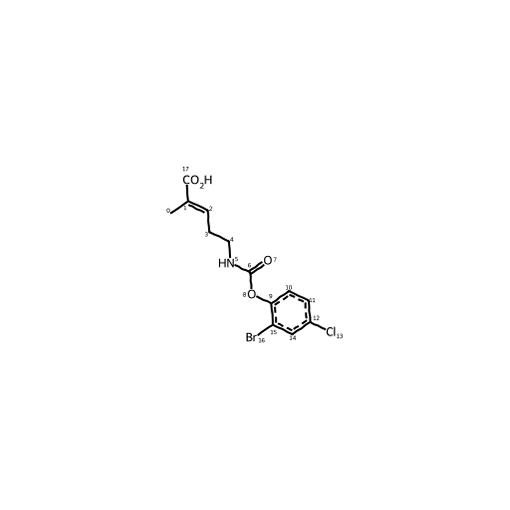 CC(=CCCNC(=O)Oc1ccc(Cl)cc1Br)C(=O)O